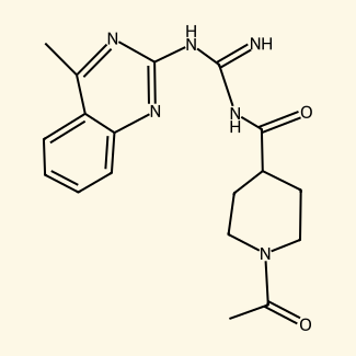 CC(=O)N1CCC(C(=O)NC(=N)Nc2nc(C)c3ccccc3n2)CC1